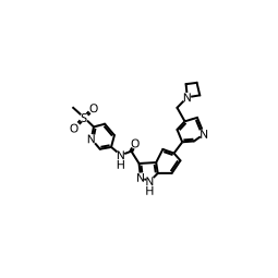 CS(=O)(=O)c1ccc(NC(=O)c2n[nH]c3ccc(-c4cncc(CN5CCC5)c4)cc23)cn1